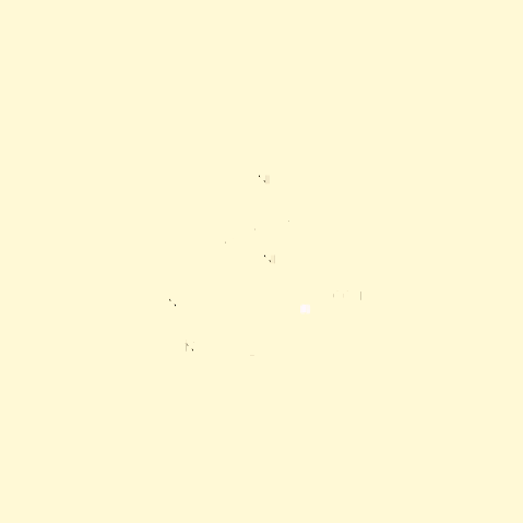 Cn1cnc2c(F)c(/C=C/C(=O)O)c(NS(=O)(=O)c3ccc[nH]3)cc21